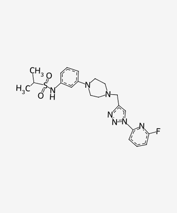 CC(C)S(=O)(=O)Nc1cccc(N2CCN(Cc3cn(-c4cccc(F)n4)nn3)CC2)c1